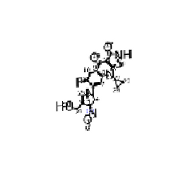 CO/N=C1/CN(c2cc3c(cc2F)c(=O)c2c(=O)[nH]sc2n3C2CC2)CC1CO